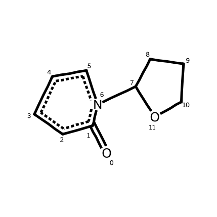 O=c1ccccn1C1CCCO1